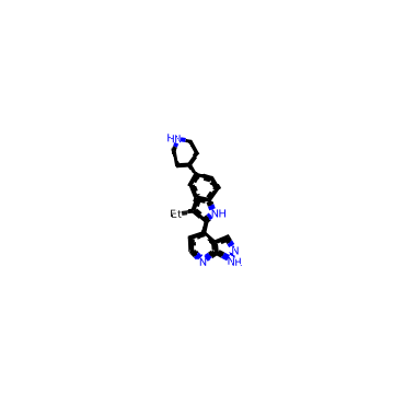 CCc1c(-c2ccnc3[nH]ncc23)[nH]c2ccc(C3CCNCC3)cc12